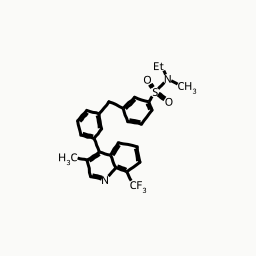 CCN(C)S(=O)(=O)c1cccc(Cc2cccc(-c3c(C)cnc4c(C(F)(F)F)cccc34)c2)c1